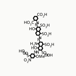 COc1cc([N+](=O)[O-])c(SOOO)cc1N=Nc1c(SOOO)cc2c(S(=O)(=O)O)cc(N=Nc3ccc4c(O)c(N=Nc5cc(C(=O)O)ccc5C(=O)O)c(S(=O)(=O)O)cc4c3S(=O)(=O)O)c(N)c2c1O